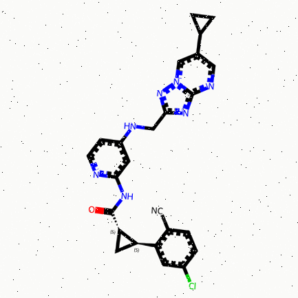 N#Cc1ccc(Cl)cc1[C@H]1C[C@@H]1C(=O)Nc1cc(NCc2nc3ncc(C4CC4)cn3n2)ccn1